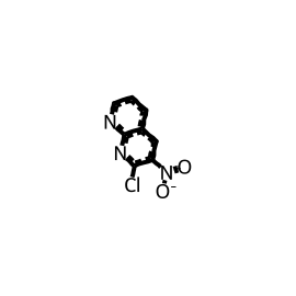 O=[N+]([O-])c1cc2cccnc2nc1Cl